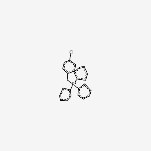 Clc1ccc(C[P+](c2ccccc2)(c2ccccc2)c2ccccc2)cc1